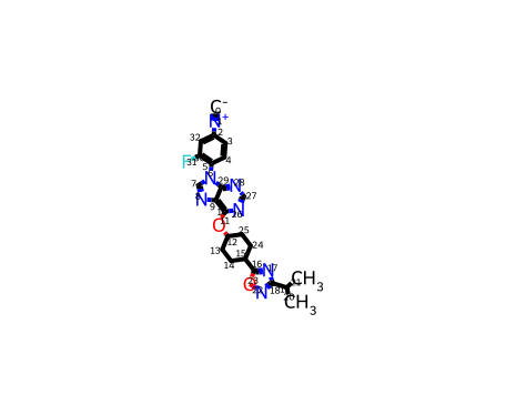 [C-]#[N+]c1ccc(-n2cnc3c(OC4CCC(c5nc(C(C)C)no5)CC4)ncnc32)c(F)c1